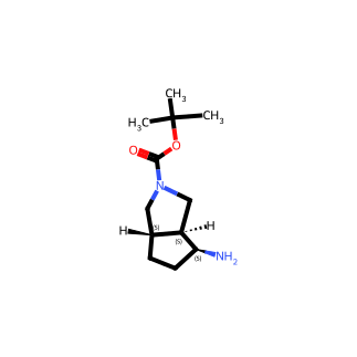 CC(C)(C)OC(=O)N1C[C@H]2CC[C@H](N)[C@@H]2C1